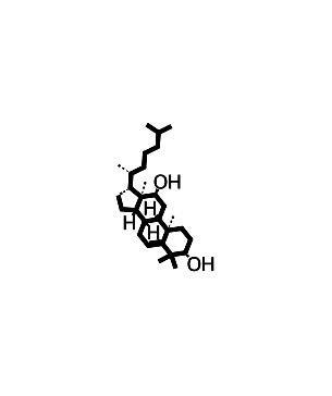 CC(C)CCC[C@@H](C)[C@H]1CC[C@H]2[C@@H]3CC=C4C(C)(C)[C@@H](O)CC[C@]4(C)[C@H]3C[C@H](O)[C@]12C